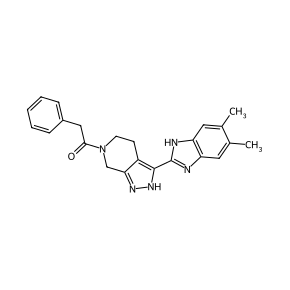 Cc1cc2nc(-c3[nH]nc4c3CCN(C(=O)Cc3ccccc3)C4)[nH]c2cc1C